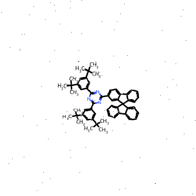 CC(C)(C)c1cc(-c2nc(-c3cc(C(C)(C)C)cc(C(C)(C)C)c3)nc(-c3ccc4c(c3)C3(c5ccccc5-c5ccccc53)c3ccccc3-4)n2)cc(C(C)(C)C)c1